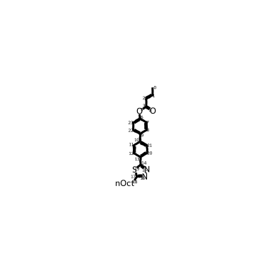 C/C=C/C(=O)Oc1ccc(-c2ccc(-c3nnc(CCCCCCCC)s3)cc2)cc1